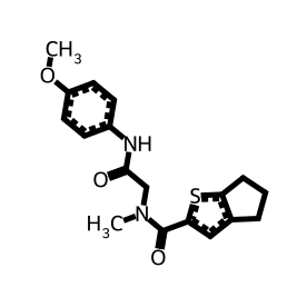 COc1ccc(NC(=O)CN(C)C(=O)c2cc3c(s2)CCC3)cc1